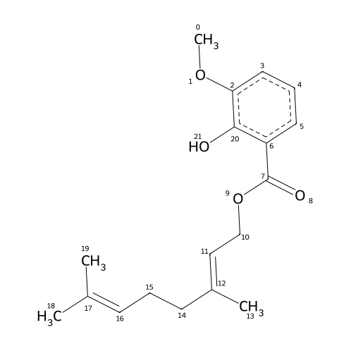 COc1cccc(C(=O)OC/C=C(\C)CCC=C(C)C)c1O